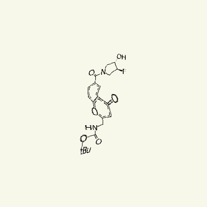 CC(C)(C)OC(=O)NCc1cc(=O)c2cc(C(=O)N3C[C@H](O)[C@@H](F)C3)ccc2o1